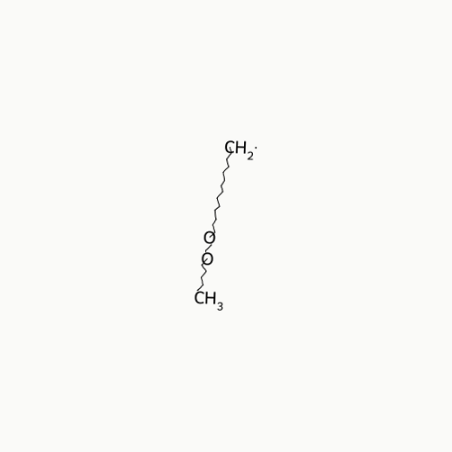 [CH2]CCCCCCCCCCCCCOCCOCCCCCC